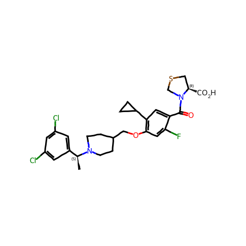 C[C@@H](c1cc(Cl)cc(Cl)c1)N1CCC(COc2cc(F)c(C(=O)N3CSC[C@H]3C(=O)O)cc2C2CC2)CC1